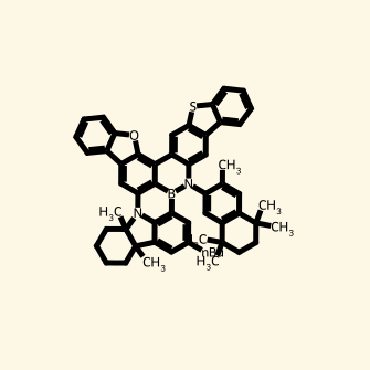 CCCCc1cc2c3c(c1)C1(C)CCCCC1(C)N3c1cc3c(oc4ccccc43)c3c1B2N(c1cc2c(cc1C)C(C)(C)CCC2(C)C)c1cc2c(cc1-3)sc1ccccc12